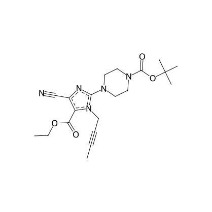 CC#CCn1c(N2CCN(C(=O)OC(C)(C)C)CC2)nc(C#N)c1C(=O)OCC